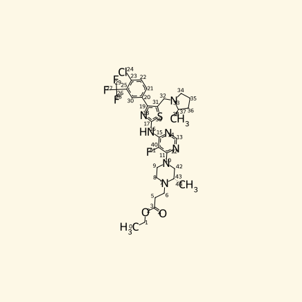 CCOC(=O)CCN1CCN(c2ncnc(Nc3nc(-c4ccc(Cl)c(C(F)(F)F)c4)c(CN4CCC[C@H]4C)s3)c2F)C[C@@H]1C